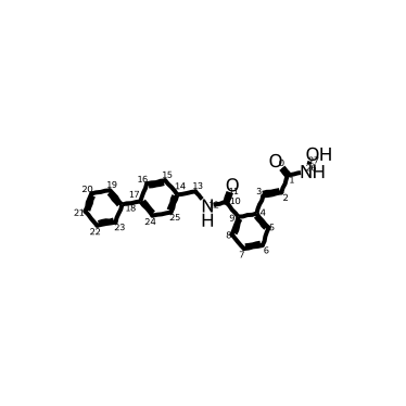 O=C(/C=C/c1ccccc1C(=O)NCc1ccc(-c2ccccc2)cc1)NO